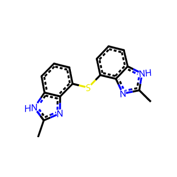 Cc1nc2c(Sc3cccc4[nH]c(C)nc34)cccc2[nH]1